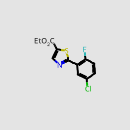 CCOC(=O)c1cnc(-c2cc(Cl)ccc2F)s1